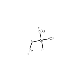 CCCC[Si](C)(Cl)CC(C)C